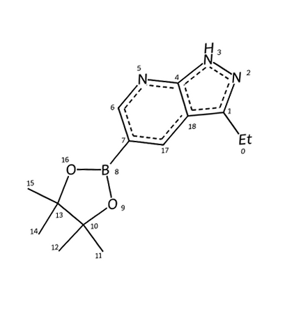 CCc1n[nH]c2ncc(B3OC(C)(C)C(C)(C)O3)cc12